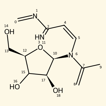 C=NC(=N)/C=C\N(C(=C)C)[C@@H]1O[C@H](CO)C(O)[C@@H]1O